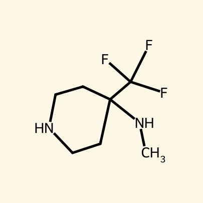 CNC1(C(F)(F)F)CCNCC1